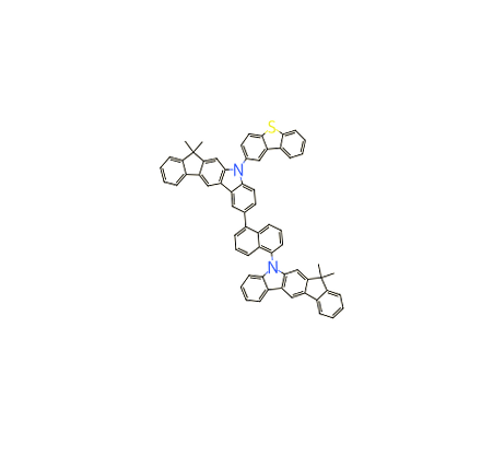 CC1(C)c2ccccc2-c2cc3c4cc(-c5cccc6c(-n7c8ccccc8c8cc9c(cc87)C(C)(C)c7ccccc7-9)cccc56)ccc4n(-c4ccc5sc6ccccc6c5c4)c3cc21